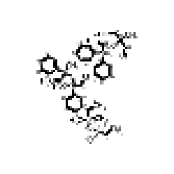 C=C[Si](C)(C)O[Si](C)(C)C=C.C=C[Si](C)(O[Si](C)(C=C)c1ccccc1)c1ccccc1.C=C[Si](Cl)(c1ccccc1)c1ccccc1.CC(C)(CO)CO